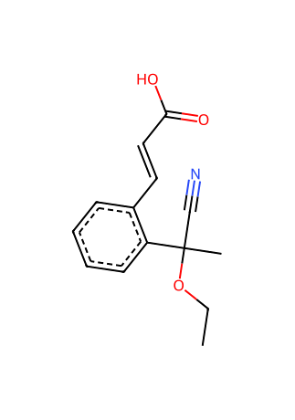 CCOC(C)(C#N)c1ccccc1C=CC(=O)O